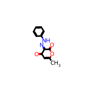 CC1=CC(=O)C(=NNc2ccccc2)C(=O)O1